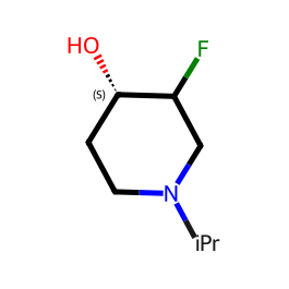 CC(C)N1CC[C@H](O)C(F)C1